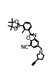 C#CC1CCN(Cc2cc(C#N)c3oc(-c4cccc(B5OC(C)(C)C(C)(C)O5)c4C)nc3c2)C1